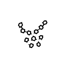 c1ccc2c(c1)Oc1ccccc1N2c1cc(N(c2ccc(-c3ccc4c(c3)oc3ccccc34)cc2)c2ccc(-c3ccc4oc5ccccc5c4c3)cc2)cc(N2c3ccccc3Oc3ccccc32)c1